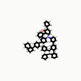 c1ccc(Cc2ccccc2-c2ccc(-c3cccc(N(c4ccc(-c5ccc(-c6cccc7ccccc67)cc5)cc4)c4ccc(-c5ccccc5)c5oc6ccccc6c45)c3)cc2Cc2ccccc2)cc1